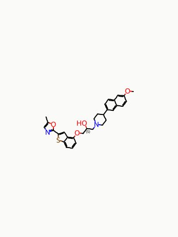 COc1ccc2cc(C3CCN(C[C@H](O)COc4cccc5sc(-c6ncc(C)o6)cc45)CC3)ccc2c1